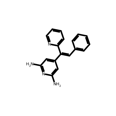 Nc1cc(C(=Cc2ccccc2)c2ccccn2)cc(N)n1